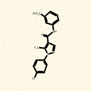 CCOC(=O)c1cccc(NC(=O)c2cnn(-c3ccc(Cl)cc3)c2C(F)(F)F)c1